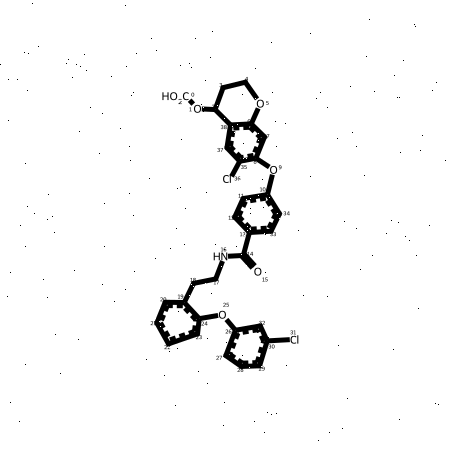 O=C(O)OC1CCOc2cc(Oc3ccc(C(=O)NCCc4ccccc4Oc4cccc(Cl)c4)cc3)c(Cl)cc21